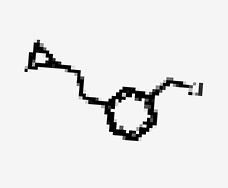 ClCc1cccc(CCC2CC2)c1